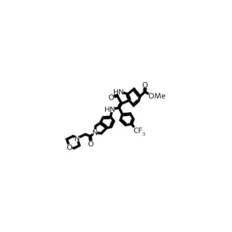 COC(=O)c1ccc2c(c1)NC(=O)/C2=C(\Nc1ccc2c(c1)CN(C(=O)CN1CCOCC1)C2)c1ccc(C(F)(F)F)cc1